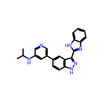 CC(C)Nc1cncc(-c2ccc3[nH]nc(-c4nc5ccccc5[nH]4)c3c2)c1